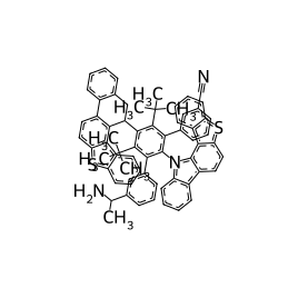 CC(N)c1cccc(-c2c(-n3c4ccccc4c4ccc5sc6ccccc6c5c43)c(-c3cccc(C#N)c3)c(C(C)(C)C)c(C3Cc4ccccc4-c4ccc5sc6ccccc6c5c43)c2C(C)(C)C)c1